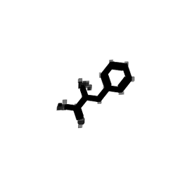 CC(=O)C(=O)C(N)Cc1ccccc1